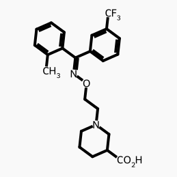 Cc1ccccc1C(=NOCCN1CCCC(C(=O)O)C1)c1cccc(C(F)(F)F)c1